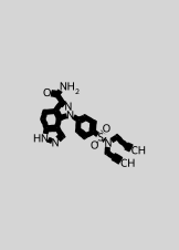 C#CCN(CC#C)S(=O)(=O)c1ccc(-n2nc(C(N)=O)c3c2-c2cn[nH]c2CC3)cc1